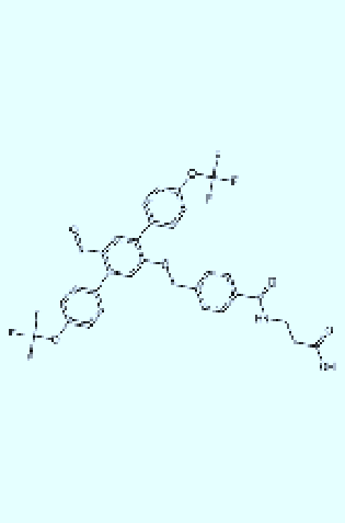 O=Nc1cc(-c2ccc(OC(F)(F)F)cc2)c(OCc2ccc(C(=O)NCCC(=O)O)cc2)cc1-c1ccc(OC(F)(F)F)cc1